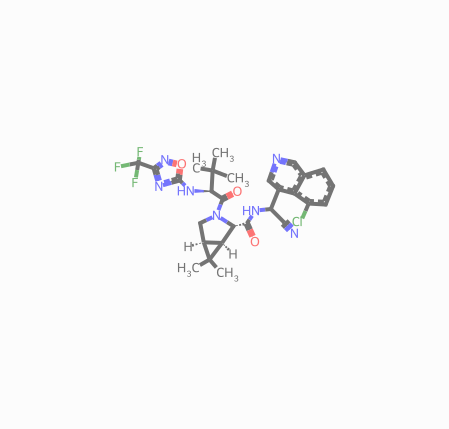 CC(C)(C)[C@H](Nc1nc(C(F)(F)F)no1)C(=O)N1C[C@H]2[C@@H]([C@H]1C(=O)NC(C#N)c1cncc3cccc(Cl)c13)C2(C)C